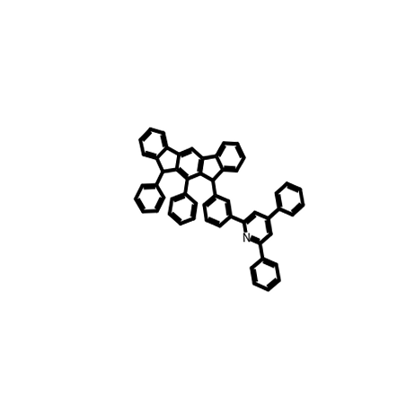 c1ccc(-c2cc(-c3ccccc3)nc(-c3cccc(C4c5ccccc5-c5cc6c(c(-c7ccccc7)c54)C(c4ccccc4)c4ccccc4-6)c3)c2)cc1